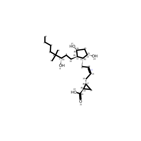 CCCCC(C)(C)[C@@H](O)CC[C@@H]1[C@@H](C/C=C\C[C@@H]2C[C@H]2C(=O)O)[C@@H](O)C[C@H]1O